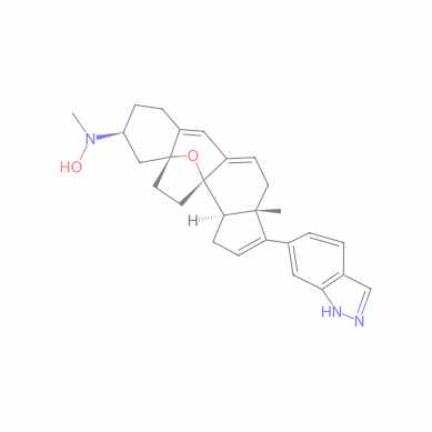 CN(O)[C@H]1CCC2=CC3=CC[C@]4(C)C(c5ccc6cn[nH]c6c5)=CC[C@H]4[C@@]34CC[C@]2(C1)O4